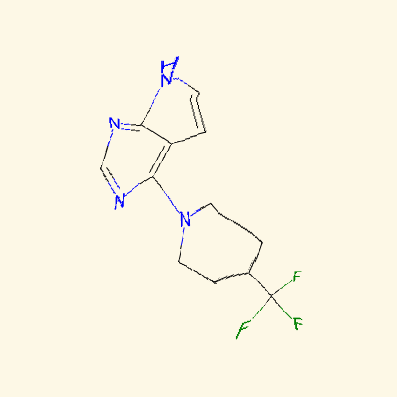 FC(F)(F)C1CCN(c2ncnc3[nH]ccc23)CC1